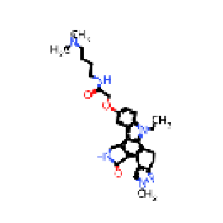 CCn1c2ccc(OCC(=O)NCCCCN(C)C)cc2c2c3c(c4c(c21)CCc1nn(C)cc1-4)C(=O)NC3